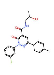 CC1=CCC(c2cc(C(=O)NCC(C)O)c(=O)n(-c3cccc(F)c3)n2)C=C1